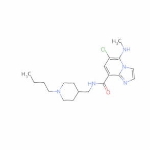 CCCCN1CCC(CNC(=O)c2cc(Cl)c(NC)n3ccnc23)CC1